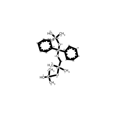 C[Si](C)(O)O[Si](C)(C)CO[Si](O[Si](C)(C)O)(c1ccccc1)c1ccccc1